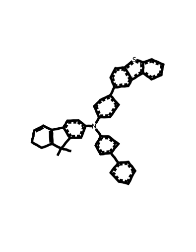 CC1(C)C2=C(C=CCC2)c2ccc(N(c3ccc(-c4ccccc4)cc3)c3ccc(-c4ccc5sc6ccccc6c5c4)cc3)cc21